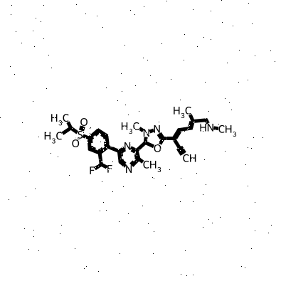 C#C/C(=C\C=C(/C)CNC)C1=NN(C)C(c2nc(-c3ccc(S(=O)(=O)C(C)C)cc3C(F)F)cnc2C)O1